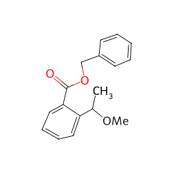 COC(C)c1ccccc1C(=O)OCc1ccccc1